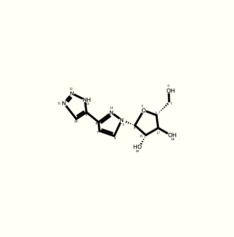 OC[C@H]1O[C@@H](n2ccc(-c3cnn[nH]3)n2)[C@@H](O)C1O